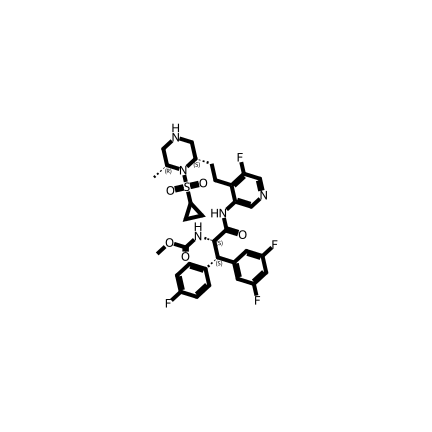 COC(=O)N[C@H](C(=O)Nc1cncc(F)c1CC[C@H]1CNC[C@@H](C)N1S(=O)(=O)C1CC1)[C@@H](c1ccc(F)cc1)c1cc(F)cc(F)c1